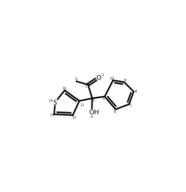 CC(=O)C(O)(c1ccccc1)c1ccsc1